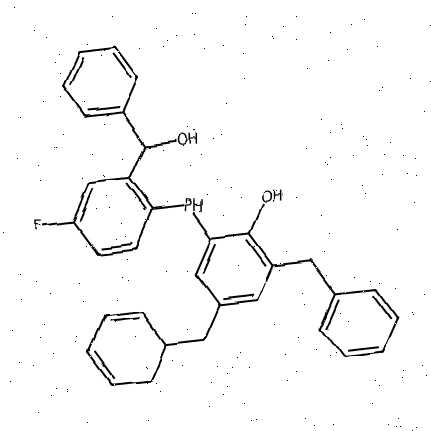 Oc1c(Cc2ccccc2)cc(CC2C=CC=CC2)cc1Pc1ccc(F)cc1C(O)c1ccccc1